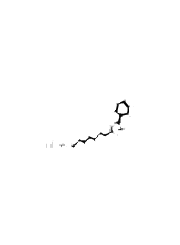 CCCCCCCCCCCCCCCCCc1nnc(-c2ccccc2)o1